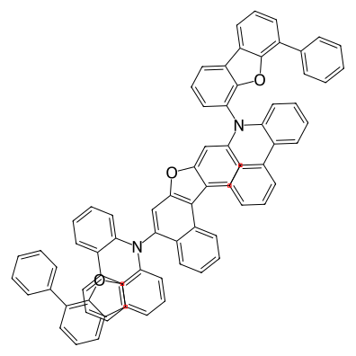 c1ccc(-c2ccccc2N(c2ccc3c(c2)oc2cc(N(c4ccccc4-c4ccccc4)c4cccc5c4oc4c(-c6ccccc6)cccc45)c4ccccc4c23)c2cccc3c2oc2c(-c4ccccc4)cccc23)cc1